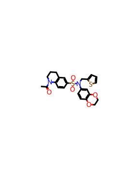 CC(=O)N1CCCc2cc(S(=O)(=O)N(Cc3cccs3)c3ccc4c(c3)OCCO4)ccc21